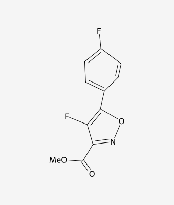 COC(=O)c1noc(-c2ccc(F)cc2)c1F